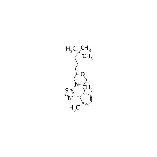 Cc1cccc(C)c1-c1ncsc1N1CCOC(CCCC(C)(C)C)C1